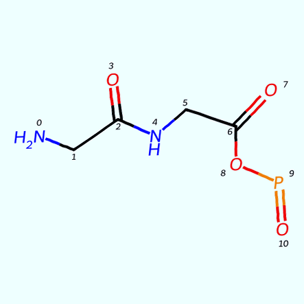 NCC(=O)NCC(=O)OP=O